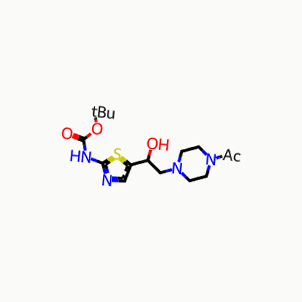 CC(=O)N1CCN(CC(O)c2cnc(NC(=O)OC(C)(C)C)s2)CC1